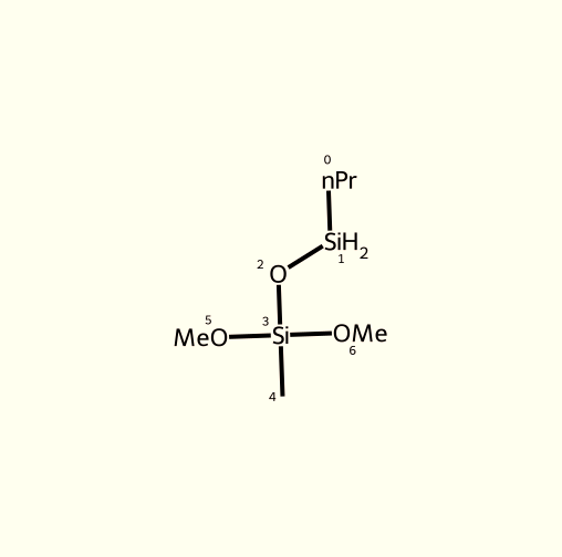 CCC[SiH2]O[Si](C)(OC)OC